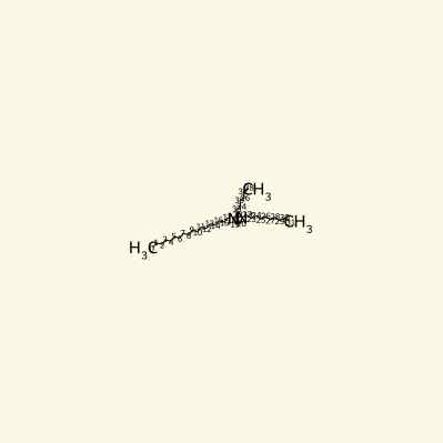 CCCCCCCCCCCCCCCCCCn1cc[n+](CCCCCCCCCC)c1CCCCCC